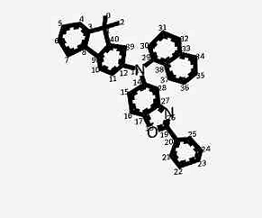 CC1(C)c2ccccc2-c2ccc(N(c3ccc4oc(-c5ccccc5)nc4c3)c3cccc4ccccc34)cc21